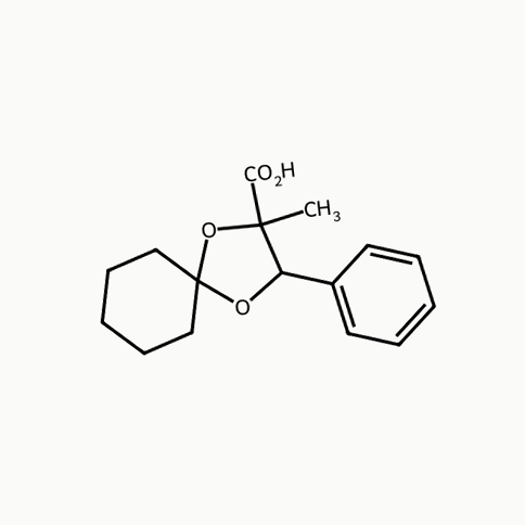 CC1(C(=O)O)OC2(CCCCC2)OC1c1ccccc1